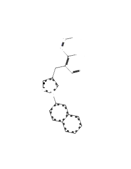 C=C/C(Cc1cnn(-c2ccc3ccccc3c2)c1)=C(C)/N=N\C